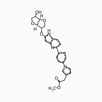 COC(=O)Cc1ccn(-c2ccc(-c3ccc4[nH]c(O[C@@H]5CO[C@H]6[C@@H]5OC[C@H]6O)cc4n3)cc2)c1